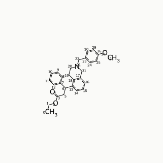 CCOC(=O)CC(c1ccccc1)c1cccc2c1CCN(Cc1ccc(OC)cc1)C2